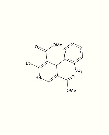 CCC1=C(C(=O)OC)C(c2ccccc2[N+](=O)[O-])C(C(=O)OC)=CN1